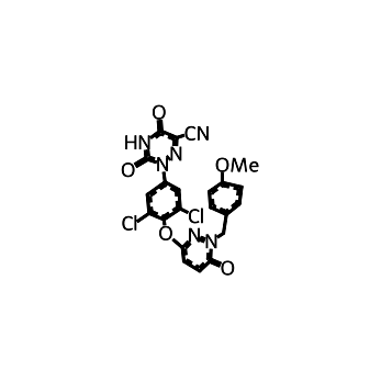 COc1ccc(Cn2nc(Oc3c(Cl)cc(-n4nc(C#N)c(=O)[nH]c4=O)cc3Cl)ccc2=O)cc1